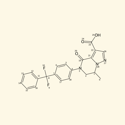 CC1CN(c2ccc(C(F)(F)c3ccccc3)cc2)C(=O)c2c(C(=O)O)cnn21